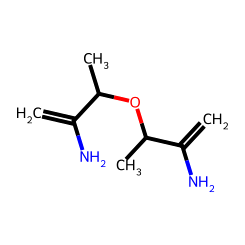 C=C(N)C(C)OC(C)C(=C)N